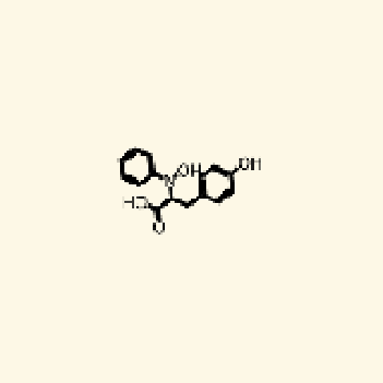 O=C(O)C(Cc1ccc(O)cc1)N(O)c1ccccc1